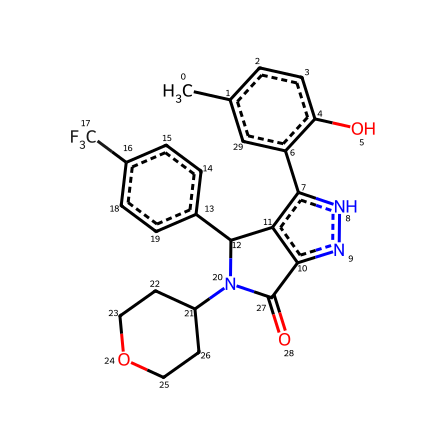 Cc1ccc(O)c(-c2[nH]nc3c2C(c2ccc(C(F)(F)F)cc2)N(C2CCOCC2)C3=O)c1